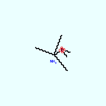 CCCCCCCCCCCCC(CCCCCCCCCCCC)(CCCCCCCCCCCC)CCCOP(=O)(OCCCC)OCCCC.N